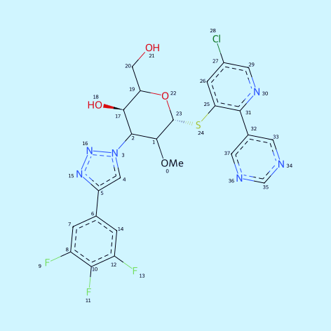 COC1C(n2cc(-c3cc(F)c(F)c(F)c3)nn2)[C@@H](O)C(CO)O[C@@H]1Sc1cc(Cl)cnc1-c1cncnc1